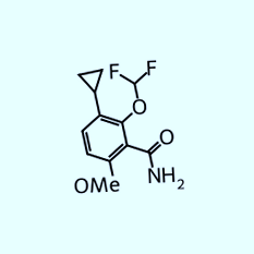 COc1ccc(C2CC2)c(OC(F)F)c1C(N)=O